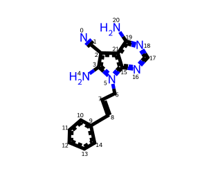 N#Cc1c(N)n(CC=Cc2ccccc2)c2ncnc(N)c12